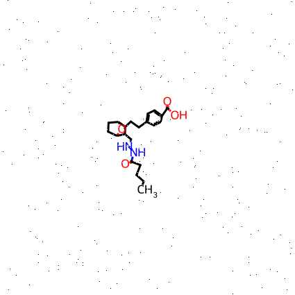 CCCCC(=O)NNCC1C2CCC(O2)C1CCc1ccc(C(=O)O)cc1